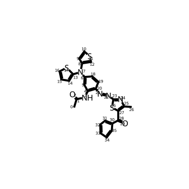 CC(=O)Nc1cc(N(c2ccsc2)c2cccs2)ccc1/N=N/c1nc(C)c(C(=O)c2ccccc2)s1